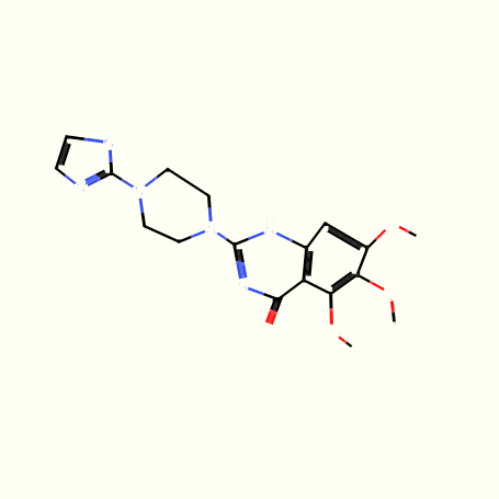 COc1cc2[nH]c(N3CCN(c4ncc[nH]4)CC3)nc(=O)c2c(OC)c1OC